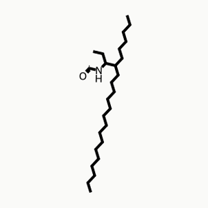 CCCCCCCCCCCCCCCC(CCCCCC)C(CC)N[C]=O